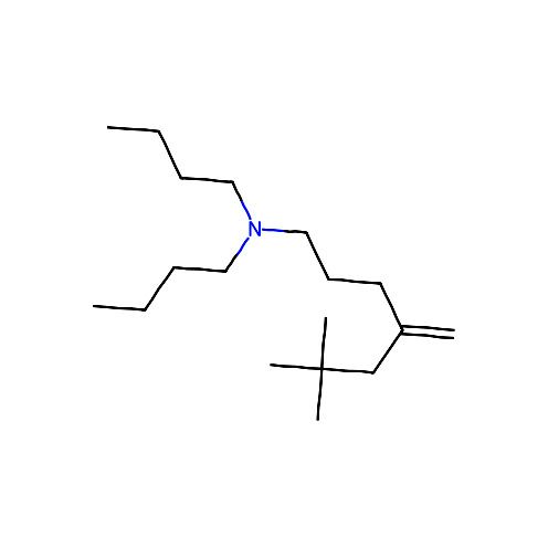 C=C(CCCN(CCCC)CCCC)CC(C)(C)C